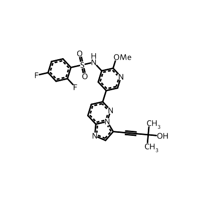 COc1ncc(-c2ccc3ncc(C#CC(C)(C)O)n3n2)cc1NS(=O)(=O)c1ccc(F)cc1F